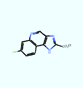 CCOC(=O)c1nc2cnc3cc(F)ccc3c2[nH]1